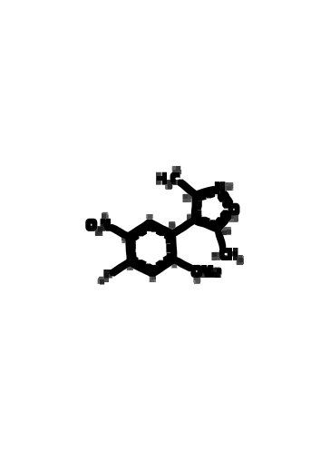 COc1cc(F)c([N+](=O)[O-])cc1-c1c(C)noc1C